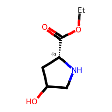 CCOC(=O)[C@H]1CC(O)CN1